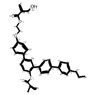 C=C(C)C(=O)Oc1ccc(-c2ccc(OCCOC(=O)C(=C)CO)cc2)cc1-c1ccc(-c2ccc(CCC)cc2)cc1